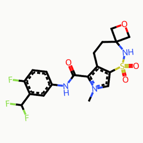 Cn1cc2c(c1C(=O)Nc1ccc(F)c(C(F)F)c1)CCC1(COC1)NS2(=O)=O